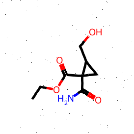 CCOC(=O)C1(C(N)=O)CC1CO